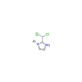 ClC(Cl)c1ncc[nH]1.[Zr]